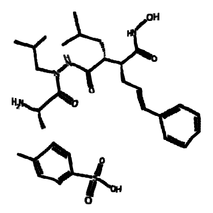 CC(C)C[C@@H](C(=O)NN(CC(C)C)C(=O)[C@@H](C)N)[C@H](CC=Cc1ccccc1)C(=O)NO.Cc1ccc(S(=O)(=O)O)cc1